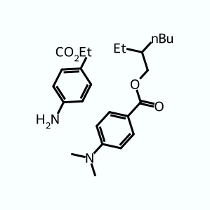 CCCCC(CC)COC(=O)c1ccc(N(C)C)cc1.CCOC(=O)c1ccc(N)cc1